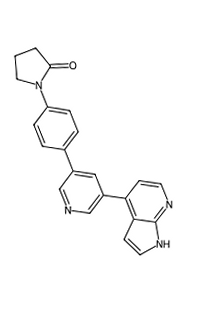 O=C1CCCN1c1ccc(-c2cncc(-c3ccnc4[nH]ccc34)c2)cc1